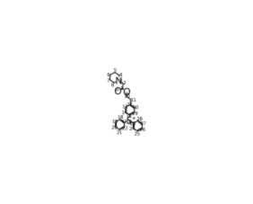 O=C(CN1CCCCC1)OCCc1ccc([S+](c2ccccc2)c2ccccc2)cc1